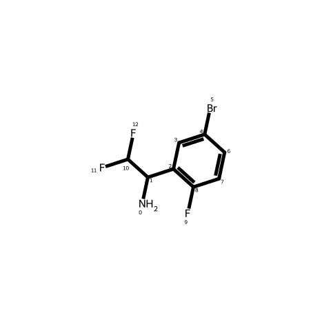 NC(c1cc(Br)ccc1F)C(F)F